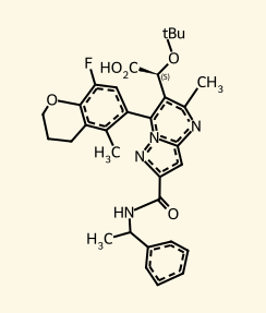 Cc1nc2cc(C(=O)NC(C)c3ccccc3)nn2c(-c2cc(F)c3c(c2C)CCCO3)c1[C@H](OC(C)(C)C)C(=O)O